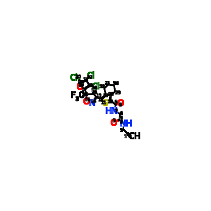 C#CCNC(=O)CNC(=O)c1sc(C2=NOC(c3oc(Cl)c(Cl)c3Cl)(C(F)(F)F)C2)c2c1CCCC2